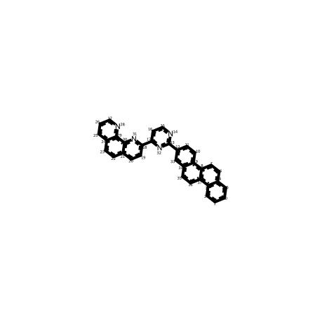 c1ccc2c(c1)ccc1c3ccc(-c4nccc(-c5ccc6ccc7cccnc7c6n5)n4)cc3ccc21